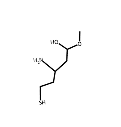 COC(O)CC(N)CCS